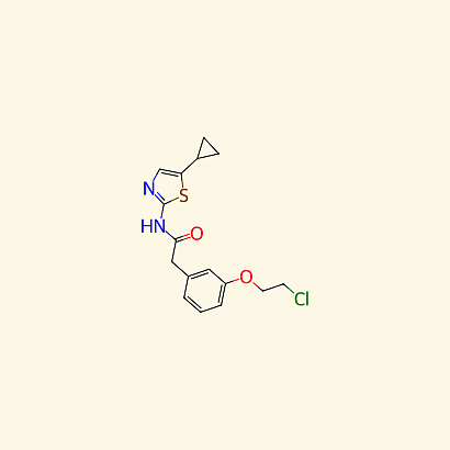 O=C(Cc1cccc(OCCCl)c1)Nc1ncc(C2CC2)s1